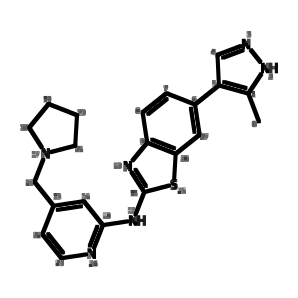 Cc1[nH]ncc1-c1ccc2nc(Nc3cc(CN4CCCC4)ccn3)sc2c1